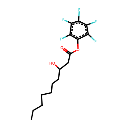 CCCCCCCC(O)CC(=O)Oc1c(F)c(F)c(F)c(F)c1F